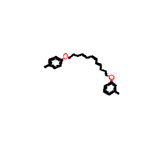 Cc1ccc(OCCC/C=C/C=C\C=C\CCCOc2cccc(C)c2)cc1